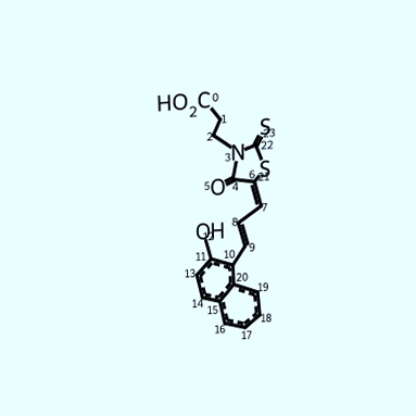 O=C(O)CCN1C(=O)C(=CC=Cc2c(O)ccc3ccccc23)SC1=S